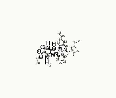 CCCCC(CC)CN(CC(CC)CCCC)C(=O)c1ccccc1/N=N/c1c(O)[nH]c(=O)c(C(=O)OCC)c1N